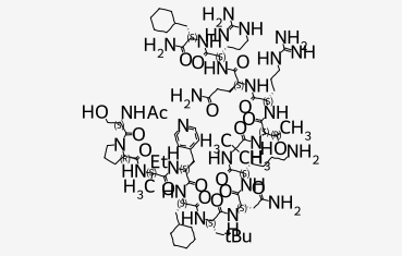 CC[C@](C)(NC(=O)[C@H]1CCCN1C(=O)[C@H](CO)NC(C)=O)C(=O)N[C@@H](Cc1ccncc1)C(=O)N[C@@H](CC1CCCCC1)C(=O)N[C@@H](CC(C)(C)C)C(=O)N[C@@H](CC(N)=O)C(=O)N[C@@H](CCCCN)C(=O)NC(C)(C)C(=O)N[C@H](C(=O)N[C@@H](CCCNC(=N)N)C(=O)N[C@@H](CCC(N)=O)C(=O)N[C@@H](CCCNC(=N)N)C(=O)N[C@@H](CC1CCCCC1)C(N)=O)[C@@H](C)O